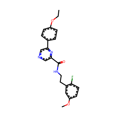 CCOc1ccc(-c2cncc(C(=O)NCCc3cc(OC)ccc3F)n2)cc1